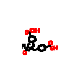 CC(CC=O)(Cc1ccc(C(=O)O)cc1)Cc1ccc(C(=O)O)cc1